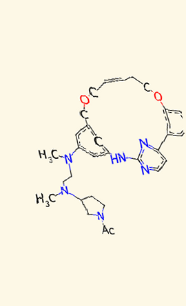 CC(=O)N1CCC(N(C)CCN(C)c2cc3cc(c2)Nc2nccc(n2)-c2cccc(c2)OCC/C=C/COC3)C1